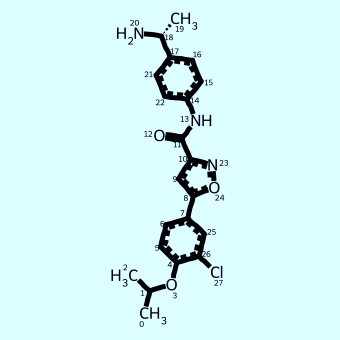 CC(C)Oc1ccc(-c2cc(C(=O)Nc3ccc([C@@H](C)N)cc3)no2)cc1Cl